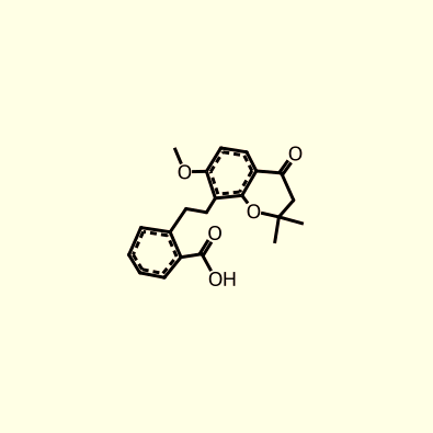 COc1ccc2c(c1CCc1ccccc1C(=O)O)OC(C)(C)CC2=O